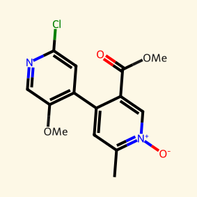 COC(=O)c1c[n+]([O-])c(C)cc1-c1cc(Cl)ncc1OC